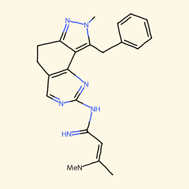 CN/C(C)=C\C(=N)Nc1ncc2c(n1)-c1c(nn(C)c1Cc1ccccc1)CC2